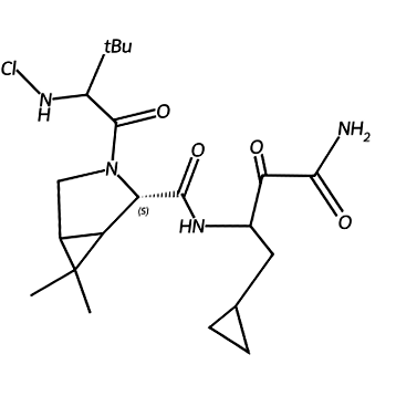 CC(C)(C)C(NCl)C(=O)N1CC2C([C@H]1C(=O)NC(CC1CC1)C(=O)C(N)=O)C2(C)C